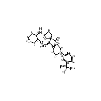 COC1COCCC1N[C@@H]1CC[C@@](C(=O)N2CCN(c3cc(C(F)(F)F)ccn3)CC2)(C(C)C)C1